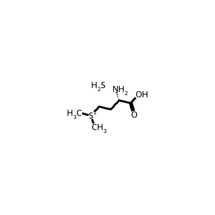 C[S+](C)CC[C@H](N)C(=O)O.S